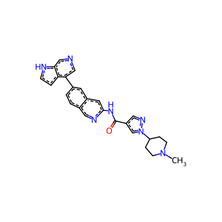 CN1CCC(n2cc(C(=O)Nc3cc4cc(-c5cncc6[nH]ccc56)ccc4cn3)cn2)CC1